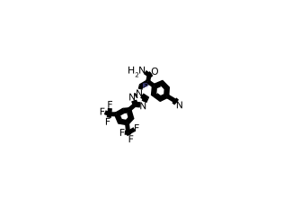 N#Cc1ccc(/C(=C\n2cnc(-c3cc(C(F)(F)F)cc(C(F)(F)F)c3)n2)C(N)=O)cc1